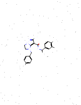 Cc1cc(C(C)NC(=O)c2c(C(F)(F)F)nn3c2N(Cc2ccc(C(F)(F)F)cc2)CC3)ccc1C#N